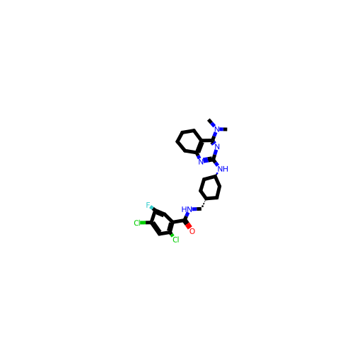 CN(C)c1nc(N[C@H]2CC[C@@H](CNC(=O)c3cc(F)c(Cl)cc3Cl)CC2)nc2c1CCCC2